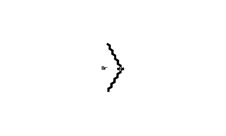 CCCCCCCCCC[N+](C)(C)CCCCCCCCC.[Br-]